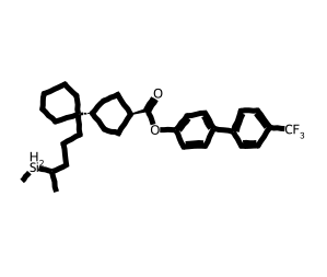 C[SiH2]C(C)CCCC1([C@H]2CC[C@H](C(=O)Oc3ccc(-c4ccc(C(F)(F)F)cc4)cc3)CC2)CCCCC1